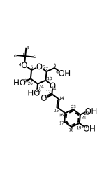 CC(C)(C)OC1OC(CO)C(OC(=O)/C=C/c2ccc(O)c(O)c2)C(O)C1O